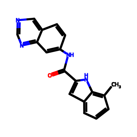 Cc1cccc2cc(C(=O)Nc3ccc4cncnc4c3)[nH]c12